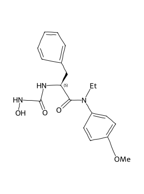 CCN(C(=O)[C@H](Cc1ccccc1)NC(=O)NO)c1ccc(OC)cc1